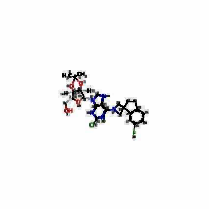 CC1(C)O[C@@H]2[C@H](O1)[C@@H](CO)O[C@H]2n1cnc2c(N3CC4(CCc5ccc(F)cc54)C3)nc(Cl)nc21